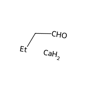 CCCC=O.[CaH2]